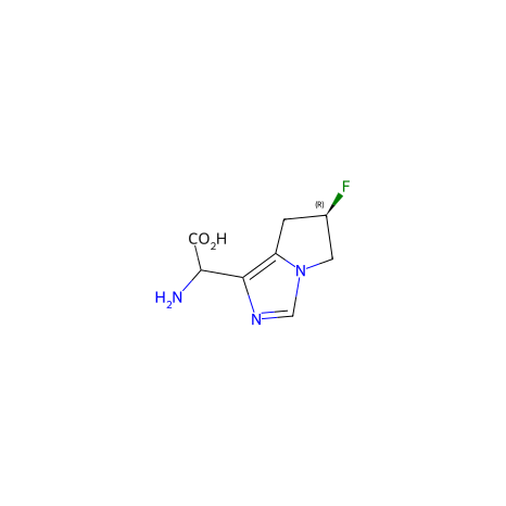 NC(C(=O)O)c1ncn2c1C[C@@H](F)C2